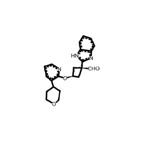 O=C[C@]1(c2nc3ccccc3[nH]2)C[C@H](Oc2ncccc2C2CCOCC2)C1